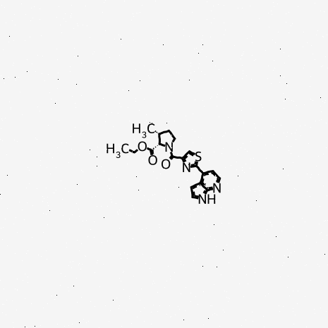 CCOC(=O)[C@@H]1[C@H](C)CCN1C(=O)c1csc(-c2ccnc3[nH]ccc23)n1